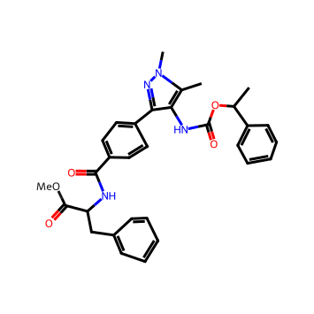 COC(=O)C(Cc1ccccc1)NC(=O)c1ccc(-c2nn(C)c(C)c2NC(=O)OC(C)c2ccccc2)cc1